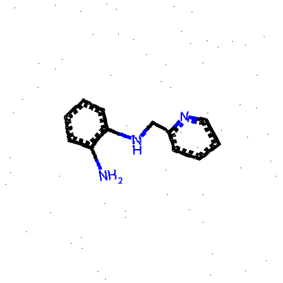 Nc1ccccc1NCc1ccccn1